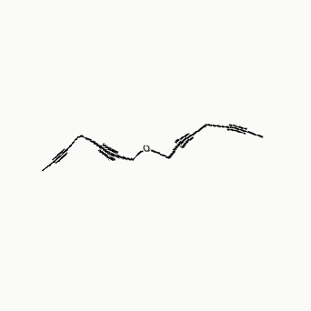 CC#CCC#CCOCC#CCC#CC